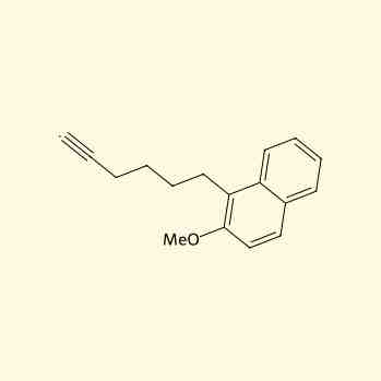 [C]#CCCCCc1c(OC)ccc2ccccc12